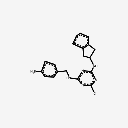 Bc1ccc(CNc2nc(Cl)nc(NC3Cc4ccccc4C3)n2)cc1